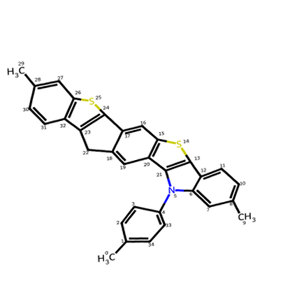 Cc1ccc(-n2c3cc(C)ccc3c3sc4cc5c(cc4c32)Cc2c-5sc3cc(C)ccc23)cc1